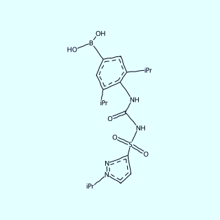 CC(C)c1cc(B(O)O)cc(C(C)C)c1NC(=O)NS(=O)(=O)c1ccn(C(C)C)n1